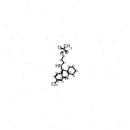 CS(=O)(=O)OCCCNc1c2c(nc3cc(Cl)ccc13)CCCC2